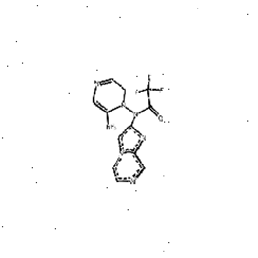 NC1=CN=CCN1N(C(=O)C(F)(F)F)c1cn2ccncc2n1